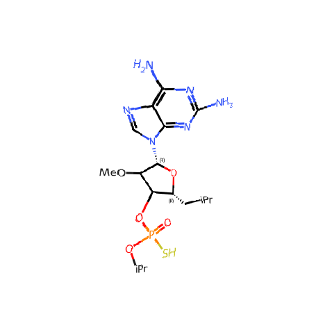 COC1C(OP(=O)(S)OC(C)C)[C@@H](CC(C)C)O[C@H]1n1cnc2c(N)nc(N)nc21